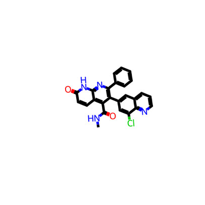 CNC(=O)c1c(-c2cc(Cl)c3ncccc3c2)c(-c2ccccc2)nc2[nH]c(=O)ccc12